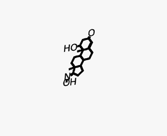 CC12CCC3C(CCC4=CC(=O)CC(O)C43C)C1CCC2=NO